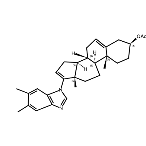 CC(=O)O[C@H]1CC[C@@]2(C)C(=CC[C@@H]3[C@@H]2CC[C@]2(C)C(n4cnc5cc(C)c(C)cc54)=CC[C@@H]32)C1